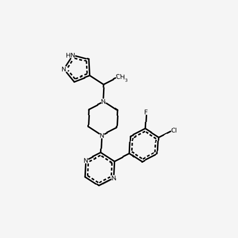 CC(c1cn[nH]c1)N1CCN(c2nccnc2-c2ccc(Cl)c(F)c2)CC1